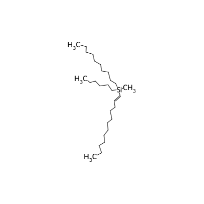 CCCCCCCCCC/C=C/[Si](C)(CCCCCC)CCCCCCCCCC